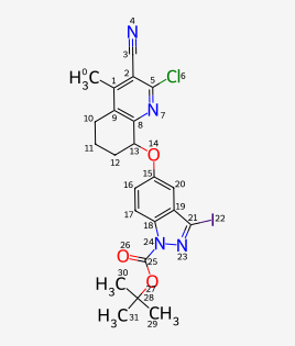 Cc1c(C#N)c(Cl)nc2c1CCCC2Oc1ccc2c(c1)c(I)nn2C(=O)OC(C)(C)C